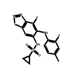 Cc1ccc(Nc2c(NS(=O)(=O)C3CC3)cc3snnc3c2F)c(F)c1